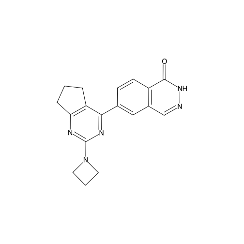 O=c1[nH]ncc2cc(-c3nc(N4CCC4)nc4c3CCC4)ccc12